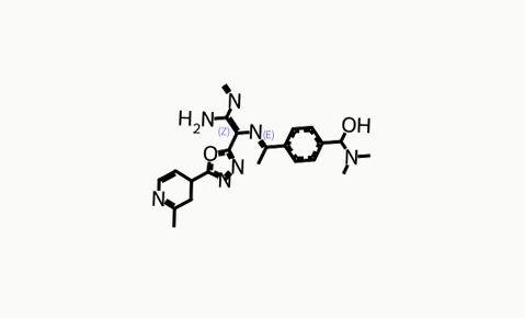 C=N/C(N)=C(\N=C(/C)c1ccc(C(O)N(C)C)cc1)c1nnc(C2C=CN=C(C)C2)o1